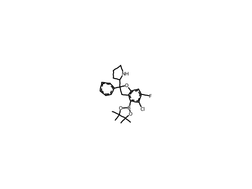 CC1(C)OB(c2c(Cl)c(F)cc3c2CC(c2ccccc2)(C2CCCN2)O3)OC1(C)C